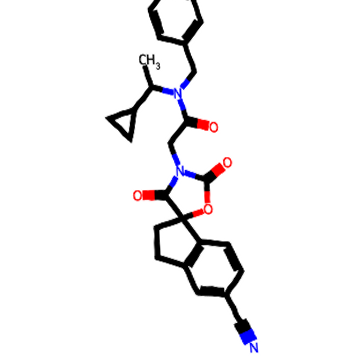 CC(C1CC1)N(Cc1ccccc1)C(=O)CN1C(=O)OC2(CCc3cc(C#N)ccc32)C1=O